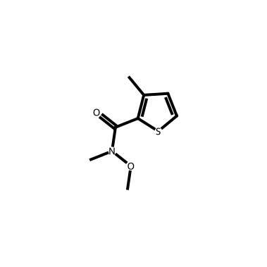 CON(C)C(=O)c1sccc1C